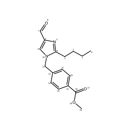 CCCCc1nc(C=O)cn1Cc1ccc(C(=O)OC)cc1